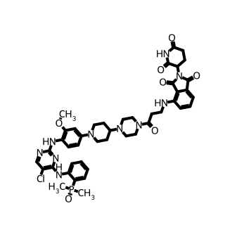 COc1cc(N2CCC(N3CCN(C(=O)CCNc4cccc5c4C(=O)N(C4CCC(=O)NC4=O)C5=O)CC3)CC2)ccc1Nc1ncc(Cl)c(Nc2ccccc2P(C)(C)=O)n1